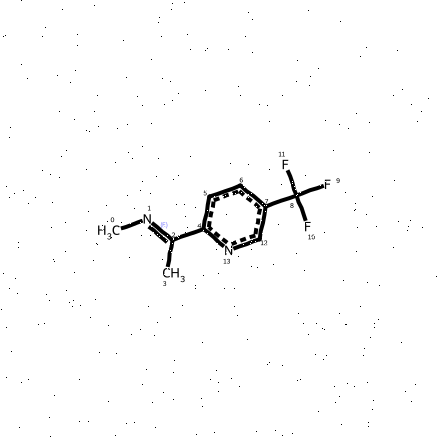 C/N=C(\C)c1ccc(C(F)(F)F)cn1